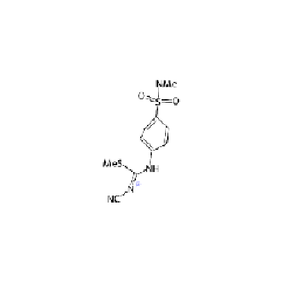 CNS(=O)(=O)c1ccc(N/C(=N/C#N)SC)cc1